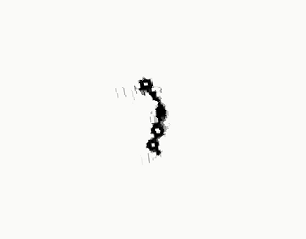 Nc1ccccc1NC(=O)C=Cc1ccn(S(=O)(=O)c2ccc(-c3cccc(CO)c3)cc2)c1